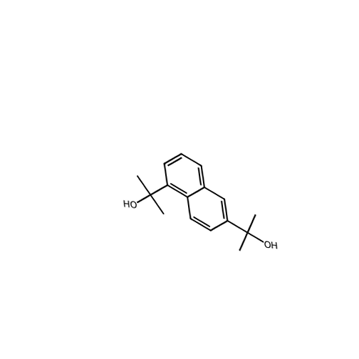 CC(C)(O)c1ccc2c(C(C)(C)O)cccc2c1